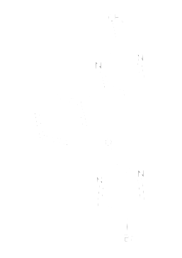 FC(F)(F)c1nccc(-c2ccccc2Oc2ncc(Br)cn2)n1